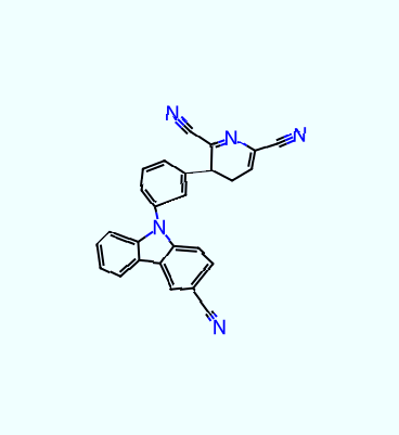 N#CC1=CCC(c2cccc(-n3c4ccccc4c4cc(C#N)ccc43)c2)C(C#N)=N1